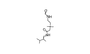 CC(C)C(C)CNC(=O)CC(C)(C)CCNC=O